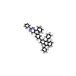 c1ccc(-c2ncc(-c3ccc(-c4ccc5c(-c6ccccc6)c6ccccc6c(-c6ccccc6)c5c4)cc3)c(-c3ccccc3)n2)cc1